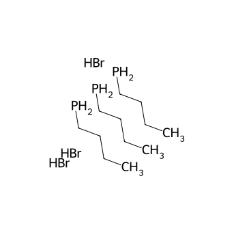 Br.Br.Br.CCCCP.CCCCP.CCCCP